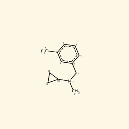 CN(Cc1cccc(C(F)(F)F)c1)C1CC1